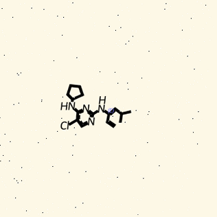 C=C/C(=C\C(C)C)Nc1ncc(Cl)c(NC2CCCC2)n1